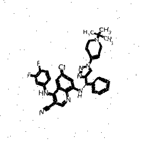 CC(C)(C)N1CCC(n2cc([C@@H](Nc3cc(Cl)cc4c(Nc5ccc(F)c(F)c5)c(C#N)cnc34)c3ccccc3)nn2)CC1